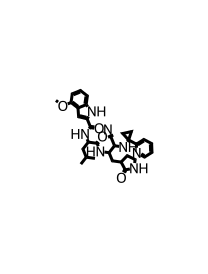 COc1cccc2[nH]c(C(=O)NC(CC(C)C)C(=O)NC(CC3CCNC3=O)C(C#N)NC3(c4ccccn4)CC3)cc12